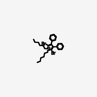 CCCCCC[Si]1(CCCCCC)C(Br)=C(c2ccccc2)C(c2ccccc2)=C1Br